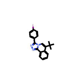 CC(C)(C)c1cn2c(-c3ccc(I)cc3)nnc2c2ccccc12